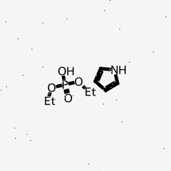 CCOP(=O)(O)OCC.c1cc[nH]c1